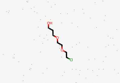 OCCCOCCOCCCl